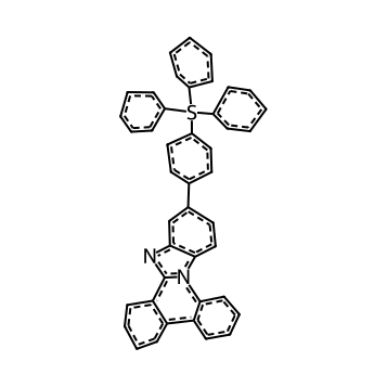 c1ccc(S(c2ccccc2)(c2ccccc2)c2ccc(-c3ccc4c(c3)nc3c5ccccc5c5ccccc5n43)cc2)cc1